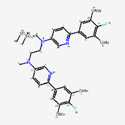 COc1cc(-c2ccc(N(C)CCN(C)c3ccc(-c4cc(OC)c(F)c(OC)c4)nc3)cn2)cc(OC)c1F.CS(=O)(=O)O.CS(=O)(=O)O